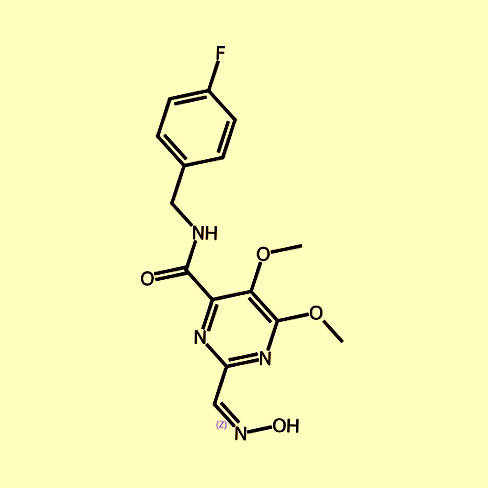 COc1nc(/C=N\O)nc(C(=O)NCc2ccc(F)cc2)c1OC